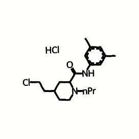 CCCN1CCC(CCCl)CC1C(=O)Nc1cc(C)cc(C)c1.Cl